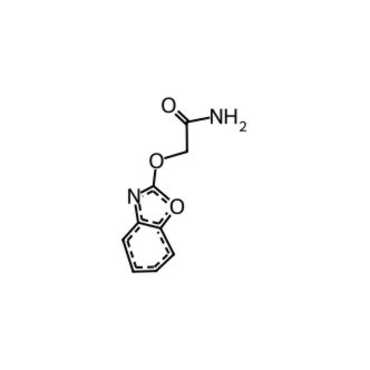 NC(=O)COc1nc2ccccc2o1